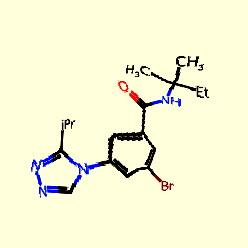 CCC(C)(C)NC(=O)c1cc(Br)cc(-n2cnnc2C(C)C)c1